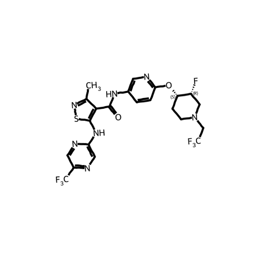 Cc1nsc(Nc2cnc(C(F)(F)F)cn2)c1C(=O)Nc1ccc(O[C@H]2CCN(CC(F)(F)F)C[C@H]2F)nc1